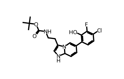 CC(C)(C)OC(=O)NCCC1=CNC2C=CC(c3ccc(Cl)c(F)c3O)=CN12